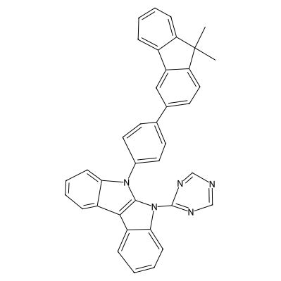 CC1(C)c2ccccc2-c2cc(-c3ccc(-n4c5ccccc5c5c6ccccc6n(-c6ncncn6)c54)cc3)ccc21